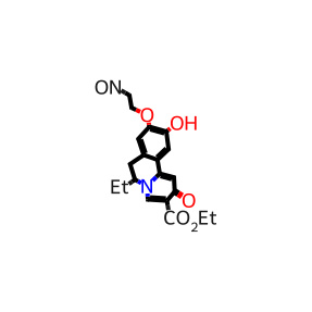 CCOC(=O)c1cn2c(cc1=O)-c1cc(O)c(OCCN=O)cc1CC2CC